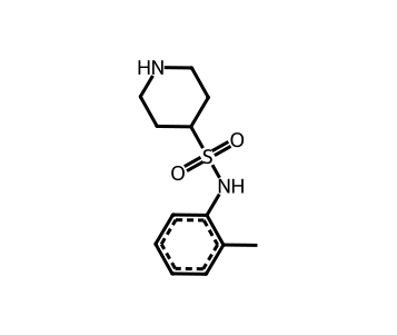 Cc1ccccc1NS(=O)(=O)C1CCNCC1